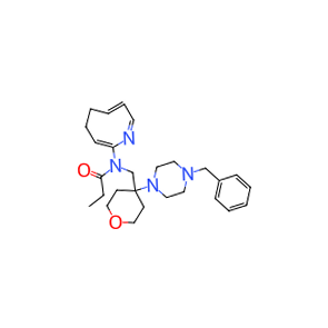 CCC(=O)N(CC1(N2CCN(Cc3ccccc3)CC2)CCOCC1)C1=C/CC/C=C/C=N\1